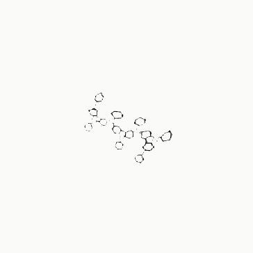 c1ccc(-c2ccc3c(c2)c2cc(N(c4ccccc4)c4ccc5c(c4)c4cc(N(c6ccccc6)c6ccc7c(c6)c6cc(-c8ccccc8)ccc6n7-c6ccccc6)ccc4n5-c4ccccc4)ccc2n3-c2ccccc2)cc1